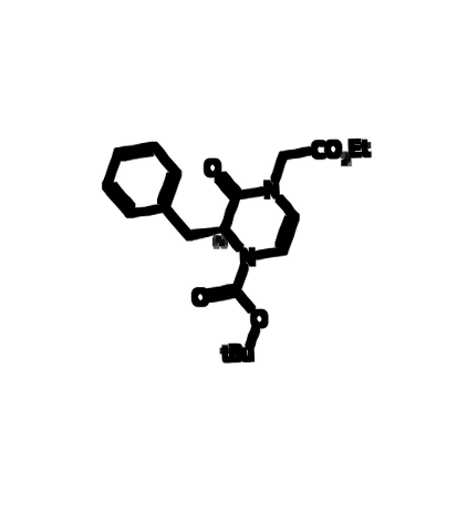 CCOC(=O)CN1C=CN(C(=O)OC(C)(C)C)[C@@H](Cc2ccccc2)C1=O